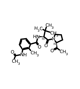 CC(=O)Nc1cccc(C(=O)N[C@H](C(=O)N2CCC[C@H]2C(C)=O)C(C)(C)C)c1C